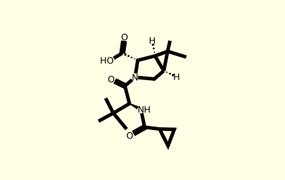 CC(C)(C)[C@H](NC(=O)C1CC1)C(=O)N1C[C@H]2[C@@H]([C@H]1C(=O)O)C2(C)C